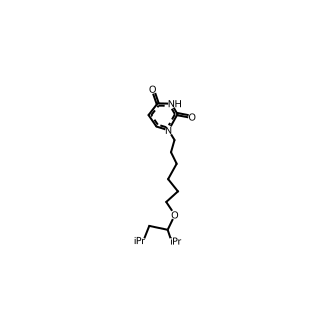 CC(C)CC(OCCCCCCn1ccc(=O)[nH]c1=O)C(C)C